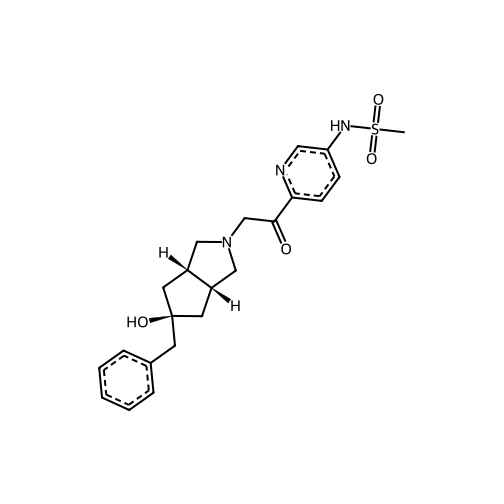 CS(=O)(=O)Nc1ccc(C(=O)CN2C[C@@H]3C[C@](O)(Cc4ccccc4)C[C@@H]3C2)nc1